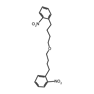 O=[N+]([O-])c1ccccc1CCCCOCCCCc1ccccc1[N+](=O)[O-]